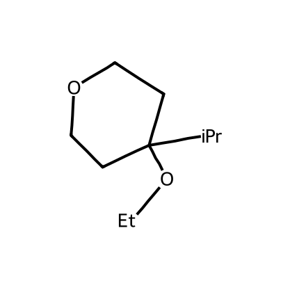 CCOC1(C(C)C)CCOCC1